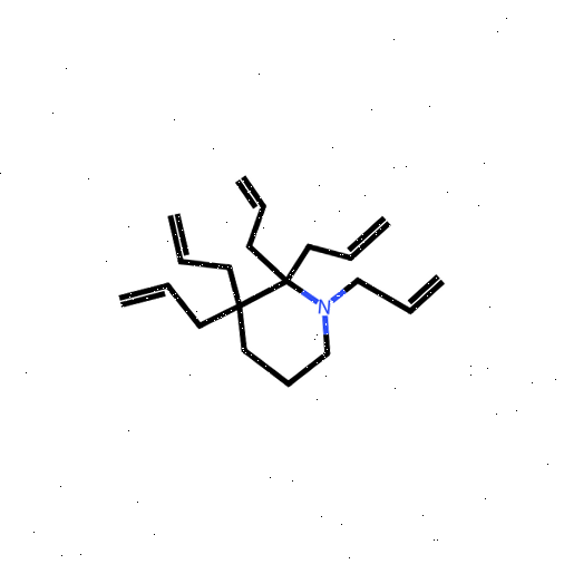 C=CCN1CCCC(CC=C)(CC=C)C1(CC=C)CC=C